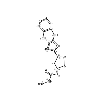 Cc1ncccc1Nc1cc([C@H]2CC[C@@H](OC(=O)NC(C)(C)C)C2)[nH]n1